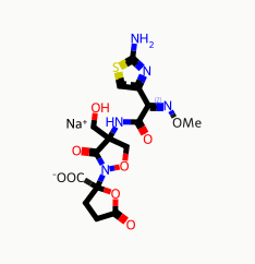 CO/N=C(\C(=O)NC1(CO)CON(C2(C(=O)[O-])CCC(=O)O2)C1=O)c1csc(N)n1.[Na+]